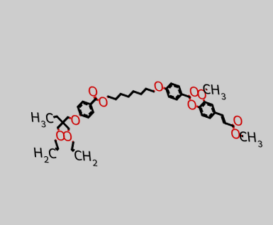 C=CCOCC(CC)(COCC=C)COc1ccc(C(=O)OCCCCCCCCOc2ccc(C(=O)Oc3ccc(/C=C/C(=O)OC)cc3OC)cc2)cc1